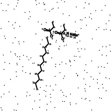 CCC(=O)[O-].CCC(=O)[O-].CCCCCCCCCCCC.N.[Na+].[Na+]